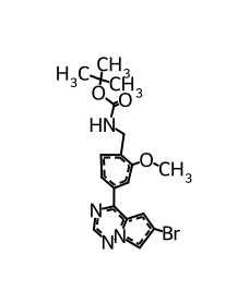 COc1cc(-c2ncnn3cc(Br)cc23)ccc1CNC(=O)OC(C)(C)C